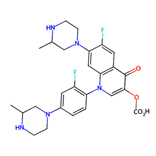 CC1CN(c2ccc(-n3cc(OC(=O)O)c(=O)c4cc(F)c(N5CCNC(C)C5)cc43)c(F)c2)CCN1